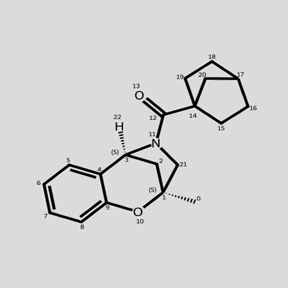 C[C@@]12C[C@@H](c3ccccc3O1)N(C(=O)C13CCC(CC1)C3)C2